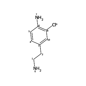 NCCc1ccc(N)c(Cl)c1